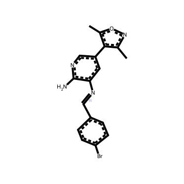 Cc1noc(C)c1-c1cnc(N)c(/N=C/c2ccc(Br)cc2)c1